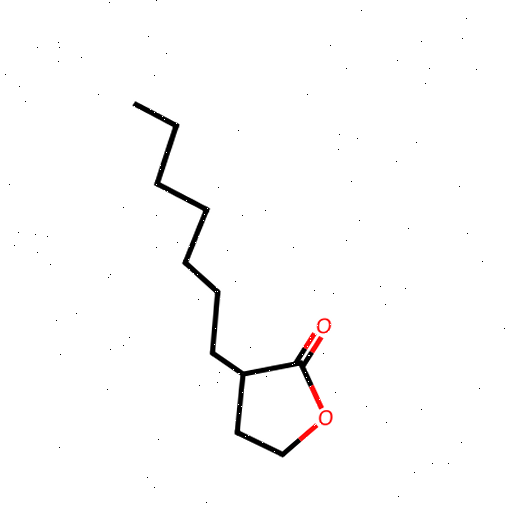 CCCCCCCC1CCOC1=O